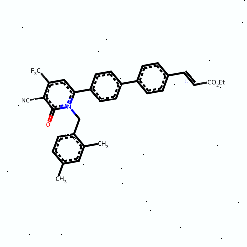 CCOC(=O)/C=C/c1ccc(-c2ccc(-c3cc(C(F)(F)F)c(C#N)c(=O)n3Cc3ccc(C)cc3C)cc2)cc1